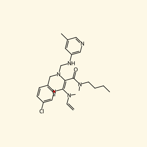 C=CN(C)/C(N=C)=C(\C(=O)N(C)CCCC)N(CNc1cncc(C)c1)Cc1ccc(Cl)cc1